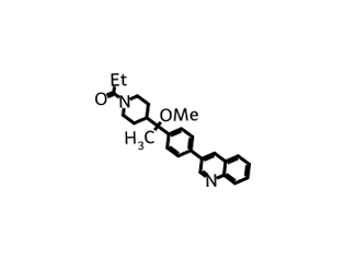 CCC(=O)N1CCC(C(C)(OC)c2ccc(-c3cnc4ccccc4c3)cc2)CC1